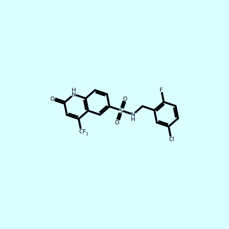 O=c1cc(C(F)(F)F)c2cc(S(=O)(=O)NCc3cc(Cl)ccc3F)ccc2[nH]1